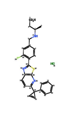 C[C@H](CC(=O)O)NCc1ccc(-c2nc3ccc(C4(c5ccccc5)C=C4)nc3s2)c(F)c1.Cl